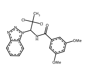 COc1cc(OC)cc(C(=O)NC(n2nnc3ccccc32)C(C)(Cl)Cl)c1